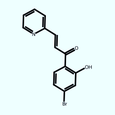 O=C(C=Cc1ccccn1)c1ccc(Br)cc1O